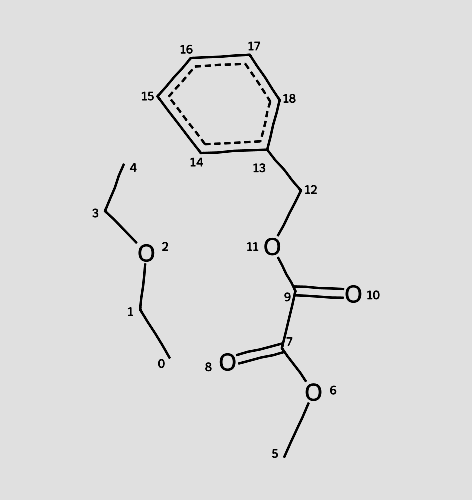 CCOCC.COC(=O)C(=O)OCc1ccccc1